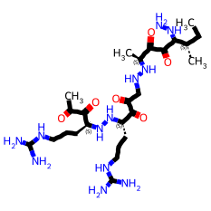 CC[C@H](C)C(NN)C(=O)C(=O)[C@H](C)NNCC(=O)C(=O)[C@H](CCCNC(N)N)NN[C@@H](CCCNC(N)N)C(=O)C(C)=O